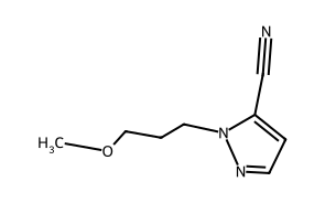 COCCCn1nccc1C#N